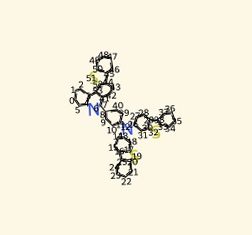 c1ccc2c(c1)nc(-c1ccc(N(c3ccc4c(c3)sc3ccccc34)c3ccc4c(c3)sc3ccccc34)cc1)c1ccc3c4ccccc4sc3c12